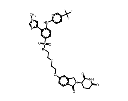 Cn1cnc(-c2cc(S(=O)(=O)NCCOCCOc3ccc4c(c3)CN(C3CCC(=O)NC3=O)C4=O)ccc2Nc2ccc(C(F)(F)F)cn2)c1